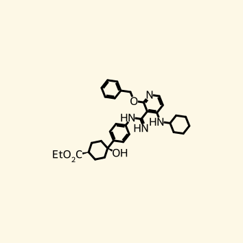 CCOC(=O)[C@H]1CC[C@](O)(c2ccc(NC(=N)c3c(NC4CCCCC4)ccnc3OCc3ccccc3)cc2)CC1